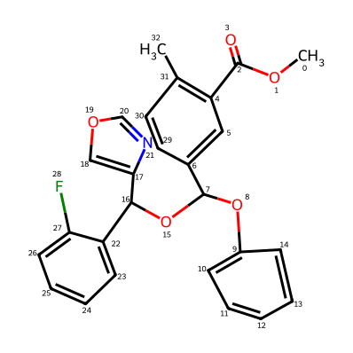 COC(=O)c1cc(C(Oc2ccccc2)OC(c2cocn2)c2ccccc2F)ccc1C